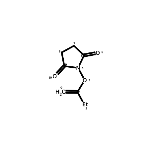 C=C(CC)ON1C(=O)CCC1=O